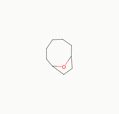 C1CCC2CCC(CC1)O2